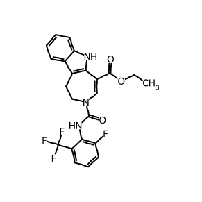 CCOC(=O)C1=CN(C(=O)Nc2c(F)cccc2C(F)(F)F)CCc2c1[nH]c1ccccc21